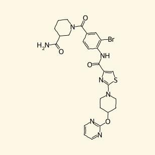 NC(=O)C1CCCN(C(=O)c2ccc(NC(=O)c3csc(N4CCC(Oc5ncccn5)CC4)n3)c(Br)c2)C1